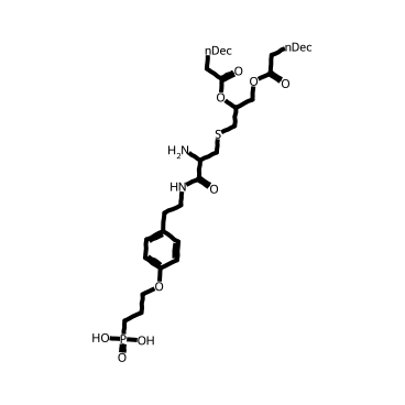 CCCCCCCCCCCC(=O)OCC(CSCC(N)C(=O)NCCc1ccc(OCCCP(=O)(O)O)cc1)OC(=O)CCCCCCCCCCC